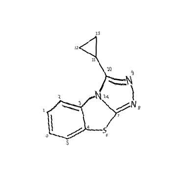 c1ccc2c(c1)sc1nnc(C3CC3)n12